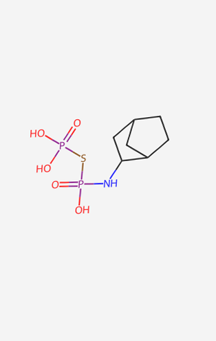 O=P(O)(O)SP(=O)(O)NC1CC2CCC1C2